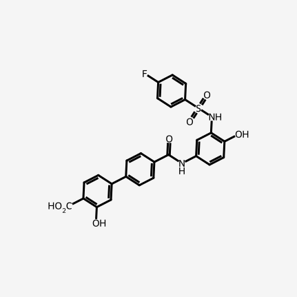 O=C(Nc1ccc(O)c(NS(=O)(=O)c2ccc(F)cc2)c1)c1ccc(-c2ccc(C(=O)O)c(O)c2)cc1